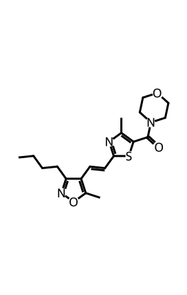 CCCCc1noc(C)c1C=Cc1nc(C)c(C(=O)N2CCOCC2)s1